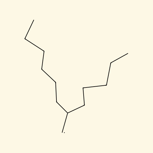 [CH2]C(CCCCC)CCCCCC